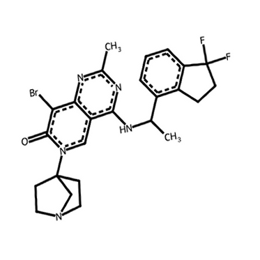 Cc1nc(NC(C)c2cccc3c2CCC3(F)F)c2cn(C34CCN(CC3)C4)c(=O)c(Br)c2n1